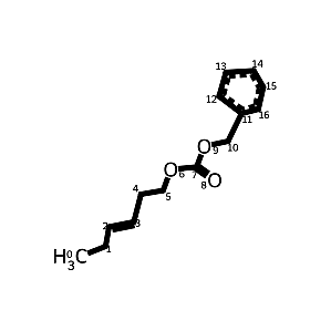 CCC=CCCOC(=O)OCc1ccccc1